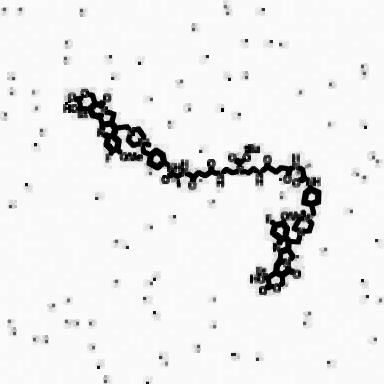 CC[C@@]1(O)C(=O)OCc2c1cc1n(c2=O)Cc2c-1nc1cc(F)c(OC)cc1c2CN1CC[N+](C)(Cc2ccc(NC(=O)[C@H](C)NC(=O)CCC(=O)NCCN(CCNC(=O)CCC(=O)N[C@H](C)C(=O)Nc3ccc(C[N+]4(C)CCN(Cc5c6c(nc7cc(F)c(OC)cc57)-c5cc7c(c(=O)n5C6)COC(=O)[C@]7(O)CC)CC4)cc3)C(=O)OC(C)(C)C)cc2)CC1